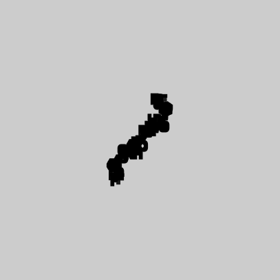 CC(F)(F)Oc1cccc(CNC(=O)c2cn(CC(F)CCn3ccc(NC(=O)OCc4cccc(OC(F)(F)F)c4)nc3=O)nn2)c1